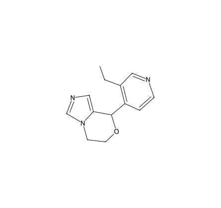 CCc1cnccc1C1OCCn2cncc21